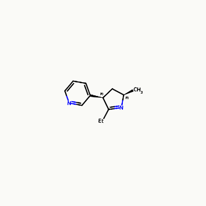 CCC1=N[C@H](C)C[C@@H]1c1cccnc1